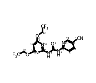 N#Cc1ccc(NC(=O)Nc2nc(OCC(F)(F)F)cc(OCC(F)(F)F)n2)nc1